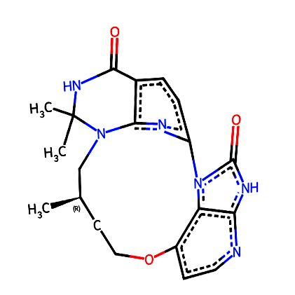 C[C@@H]1CCOc2ccnc3[nH]c(=O)n(c23)-c2ccc3c(n2)N(C1)C(C)(C)NC3=O